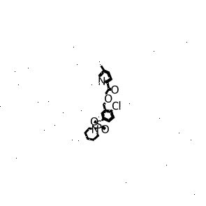 Cc1ccc(C(=O)COCc2cc(S(=O)(=O)N3CCCCC3)ccc2Cl)nc1